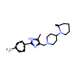 C=C1CCCCN1C1CCN(Cc2nc(-c3ccc(C(F)(F)F)cc3)[nH]c2C)CC1